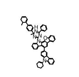 CC1CC=CC=C1c1ccc(C2(C)N=C(n3c4ccccc4c4c(-c5ccc6c(c5)c5ccccc5n6C5=CCCCC5)cc5c6ccccc6oc5c43)N=C(c3ccccc3)N2)cc1